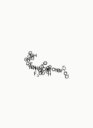 CC1(C)CCC(c2ccc(Cl)cc2)=C(CN2CCN(c3ccc(C(=O)NS(=O)(=O)c4ccc(N[C@H](CCN5CCN(Cc6ccc7c(c6F)CN(C6CCC(=O)NC6=O)C7=O)CC5)CSc5ccccc5)c(S(=O)(=O)C(F)(F)F)c4)cc3)CC2)C1